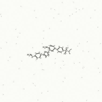 CC(C)S(=O)(=O)c1ccc(-c2cnc(N)c(-c3nnc(-c4ccc(CN)cc4)o3)n2)cc1